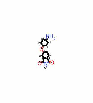 CN1C(=O)c2ccc(Oc3ccc(N)cc3)cc2C1=O